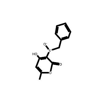 Cc1cc(O)c([S+]([O-])Cc2ccccc2)c(=O)o1